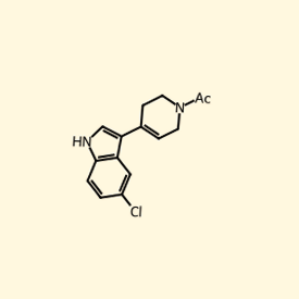 CC(=O)N1CC=C(c2c[nH]c3ccc(Cl)cc23)CC1